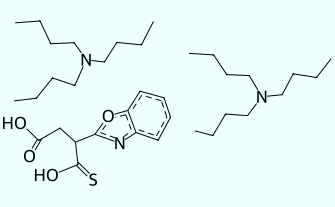 CCCCN(CCCC)CCCC.CCCCN(CCCC)CCCC.O=C(O)CC(C(O)=S)c1nc2ccccc2o1